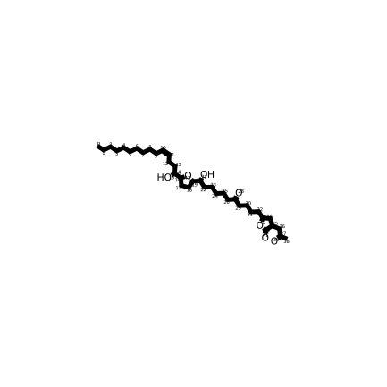 CCCCCCCCCC/C=C\CCC(O)C1CCC(C(O)CCCCCC(=O)CCCCC2CC(CC(C)=O)C(=O)O2)O1